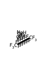 FC(F)(F)C(F)(F)C(F)(F)C(F)(F)C(F)(F)C(F)(F)C(F)(F)C(F)(F)F.O=S(=O)(OF)OF.[NaH]